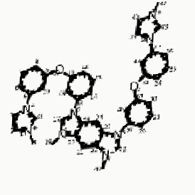 C[n+]1ccn(-c2cccc(Oc3cccc(-n4c[n+](C)c5cc6c(cc54)n(-c4cccc(Oc5cccc(-n7cc[n+](C)c7)c5)c4)c[n+]6C)c3)c2)c1